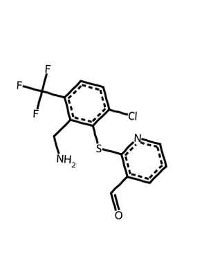 NCc1c(C(F)(F)F)ccc(Cl)c1Sc1ncccc1C=O